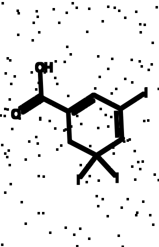 O=C(O)C1=CC(I)=CC(I)(I)C1